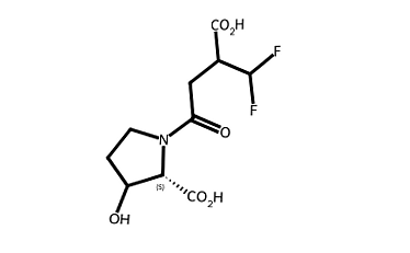 O=C(O)C(CC(=O)N1CCC(O)[C@H]1C(=O)O)C(F)F